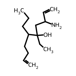 C=CCCC(CCC)C(O)(CC)CC(N)C=C